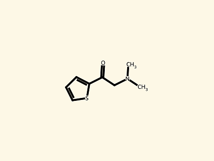 CN(C)CC(=O)c1cccs1